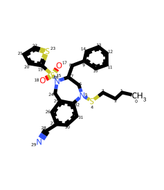 CCCCSN1CC(Cc2ccccc2)N(S(=O)(=O)c2cccs2)Cc2cc(C#N)ccc21